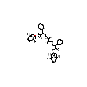 CN1[C@@H]2CC[C@H]1C[C@@H](OC(=O)C(COC(=O)C(=O)OCC(C(=O)O[C@H]1C[C@H]3CC[C@@H](C1)N3C)c1ccccc1)c1ccccc1)C2